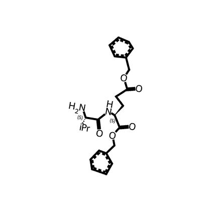 CC(C)[C@H](N)C(=O)N[C@@H](CCC(=O)OCc1ccccc1)C(=O)OCc1ccccc1